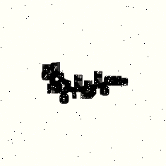 COC(=O)Nc1ccnc(N[C@@H](C)c2cc3cc(Cl)c(OC(C)C)cc3[nH]c2=O)n1